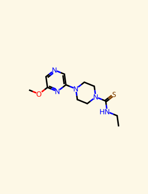 CCNC(=S)N1CCN(c2cncc(OC)n2)CC1